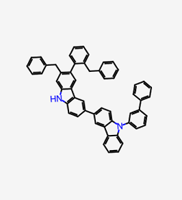 c1ccc(Cc2ccccc2-c2cc3c(cc2Cc2ccccc2)[nH]c2ccc(-c4ccc5c(c4)c4ccccc4n5-c4cccc(-c5ccccc5)c4)cc23)cc1